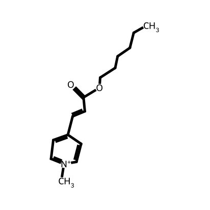 CCCCCCOC(=O)/C=C/c1cc[n+](C)cc1